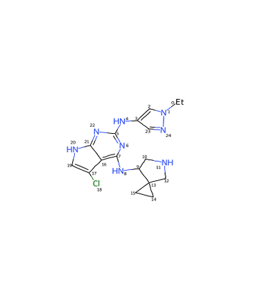 CCn1cc(Nc2nc(NC3CNCC34CC4)c3c(Cl)c[nH]c3n2)cn1